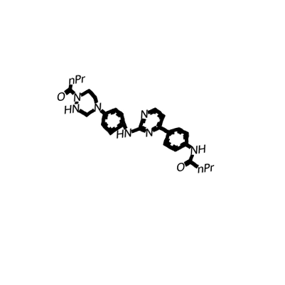 CCCC(=O)Nc1ccc(-c2ccnc(Nc3ccc(N4CCN(C(=O)CCC)NC4)cc3)n2)cc1